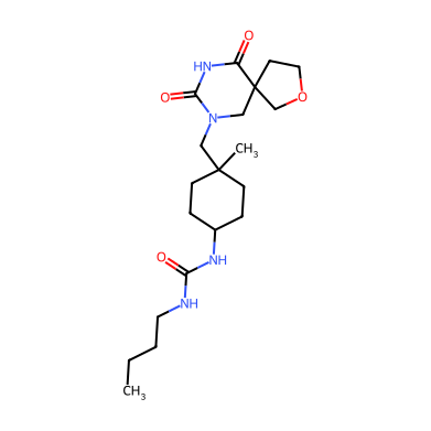 CCCCNC(=O)NC1CCC(C)(CN2CC3(CCOC3)C(=O)NC2=O)CC1